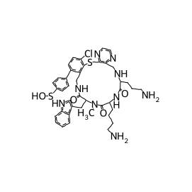 CN1C(=O)C(CCCCN)NC(=O)C(CCCN)NCc2nccnc2Sc2c(Cl)ccc(-c3ccc(SO)cc3)c2CNC(=O)C1Cc1c[nH]c2ccccc12